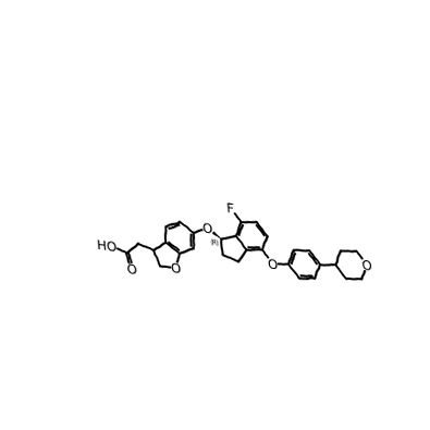 O=C(O)CC1COc2cc(O[C@@H]3CCc4c(Oc5ccc(C6CCOCC6)cc5)ccc(F)c43)ccc21